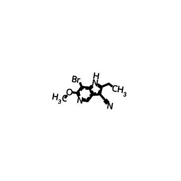 CCc1[nH]c2c(Br)c(OC)ncc2c1C#N